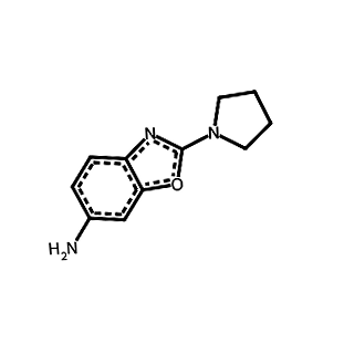 Nc1ccc2nc(N3CCCC3)oc2c1